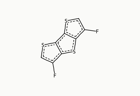 Fc1csc2c1sc1c(F)csc12